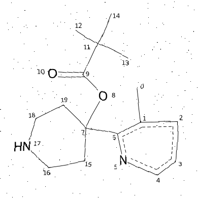 Cc1cccnc1C1(OC(=O)C(C)(C)C)CCNCC1